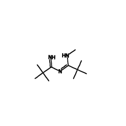 CN/C(=N\C(=N)C(C)(C)C)C(C)(C)C